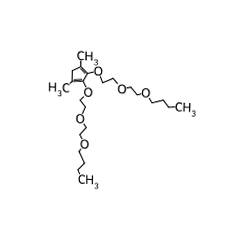 CCCCOCCOCCOC1=C(C)CC(C)=C1OCCOCCOCCCC